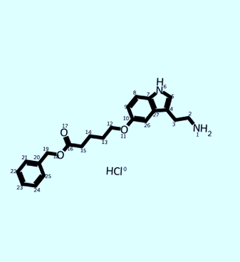 Cl.NCCc1c[nH]c2ccc(OCCCCC(=O)OCc3ccccc3)cc12